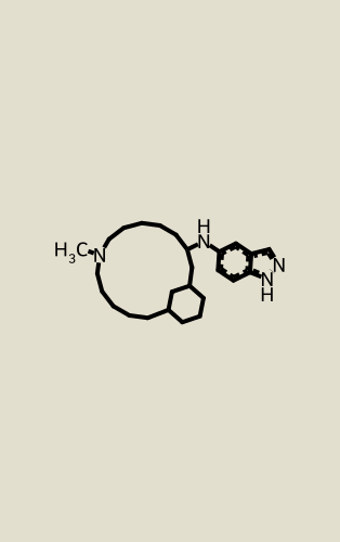 CN1CCCCCC2CCCC(C2)CC(Nc2ccc3[nH]ncc3c2)CCCCC1